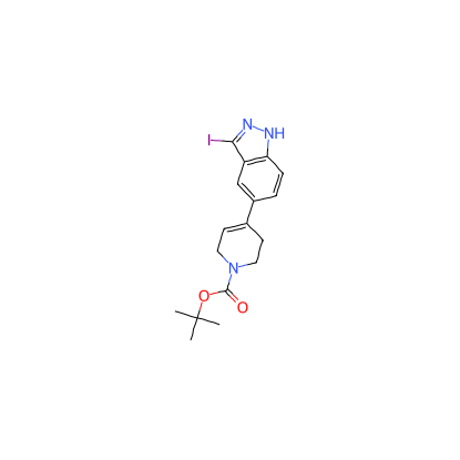 CC(C)(C)OC(=O)N1CC=C(c2ccc3[nH]nc(I)c3c2)CC1